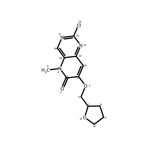 Cn1c(=O)c(OCC2CCCO2)cc2nc(Cl)ncc21